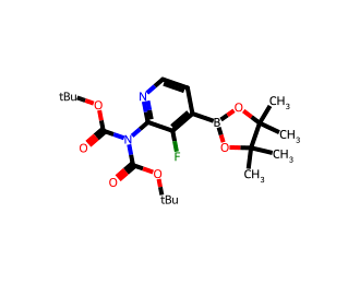 CC(C)(C)OC(=O)N(C(=O)OC(C)(C)C)c1nccc(B2OC(C)(C)C(C)(C)O2)c1F